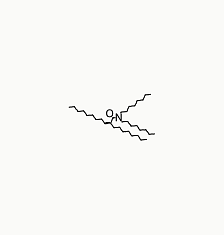 CCCCCCCCC=C(CCCCCCCC)C(=O)N(CCCCCCCC)CCCCCCCC